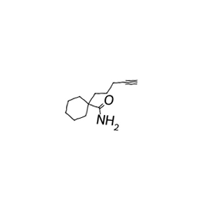 C#CCCCC1(C(N)=O)CCCCC1